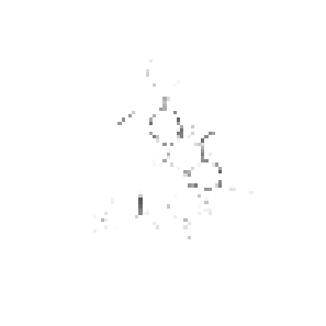 C=Cc1cc(Nc2cc(NC(C)[C@H](C)NC(=C)CC(C)(C)C)c(F)cc2C(=C)N)ccc1N(C)CC